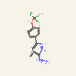 Cc1cc(-c2ccc(OC(F)(F)F)cc2)nnc1NN